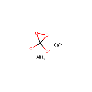 [AlH3].[Ca+2].[O-]C1([O-])OO1